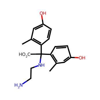 Cc1cc(O)ccc1C(NCCN)(C(=O)O)c1ccc(O)cc1C